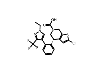 CCn1cc(-c2ccccc2[C@@H]2CN(C(=O)O)Cc3sc(Cl)cc32)c(C(F)(F)F)n1